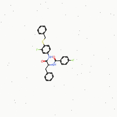 O=C(NC(Cc1ccccc1)C(=O)Nc1ccc(SCc2ccccc2)c(F)c1)c1ccc(F)cc1